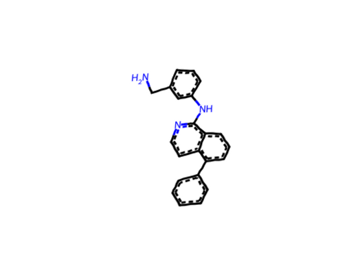 NCc1cccc(Nc2nccc3c(-c4ccccc4)cccc23)c1